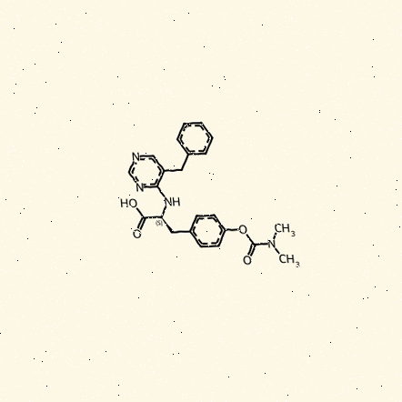 CN(C)C(=O)Oc1ccc(C[C@H](Nc2ncncc2Cc2ccccc2)C(=O)O)cc1